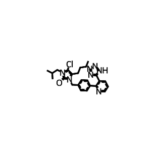 CCCCc1c(Cl)n(CC(C)C)c(=O)n1Cc1ccc(-c2ncccc2-c2nnn[nH]2)cc1